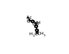 CC(=O)SCC(=O)c1ccc(NS(=O)(=O)c2ccc(-c3ccc(N(C)C)cc3)cc2)cc1